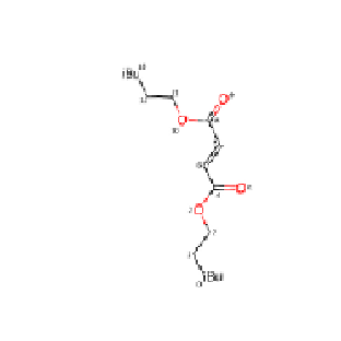 CCC(C)CCOC(=O)C=CC(=O)OCCC(C)CC